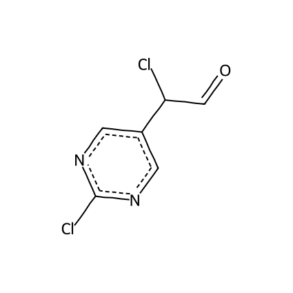 O=CC(Cl)c1cnc(Cl)nc1